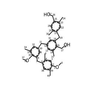 COc1cc(C)c(Cc2cc(Cc3cc(C)c(CO)c(Cc4cc(C)c(CO)cc4C)c3)cc(C)c2OC)cc1C